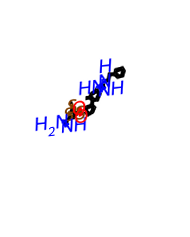 CSc1sc(C(=N)N)cc1S(=O)(=O)c1cccc(-c2ccc(NC(=N)NCCc3ccccc3)cc2C)c1